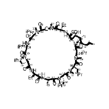 C/C=C/C[C@@H](C)[C@@H](O)[C@H]1C(=O)N[C@@H](CC)C(=O)N(C)CC(=O)N(C)[C@@H](C(C)C)C(=O)N[C@@H](C(C)C)C(=O)N(C)[C@@H](CC(C)C)C(=O)NC(CC)C(=O)N[C@H](C)C(=O)N(C)[C@@H](CC(C)C)C(=O)N(C)[C@H](CC(C)C)C(=O)N(C)[C@@H](C(C)C)C(=O)N1C